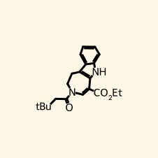 CCOC(=O)C1=CN(C(=O)CC(C)(C)C)CCc2c1[nH]c1ccccc21